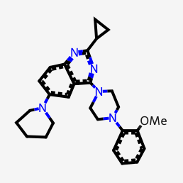 COc1ccccc1N1CCN(c2nc(C3CC3)nc3ccc(N4CCCCC4)cc23)CC1